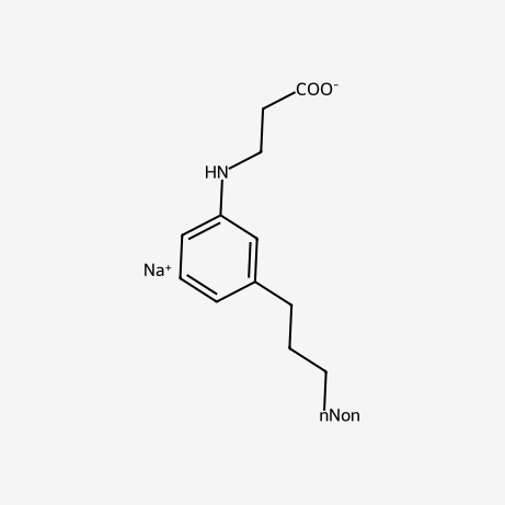 CCCCCCCCCCCCc1cccc(NCCC(=O)[O-])c1.[Na+]